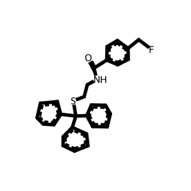 O=C(NCCSC(c1ccccc1)(c1ccccc1)c1ccccc1)c1ccc(CF)cc1